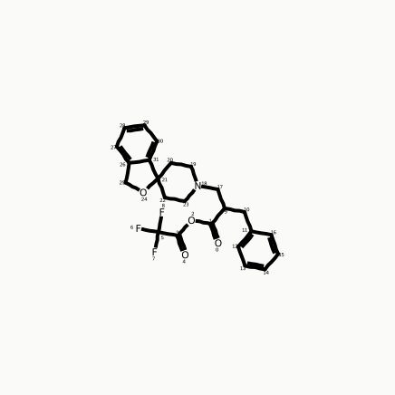 O=C(OC(=O)C(F)(F)F)C(Cc1ccccc1)CN1CCC2(CC1)OCc1ccccc12